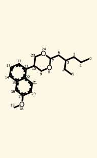 CC[CH]C(CC)CC1OCC(c2cccc3cc(OC)ccc23)CO1